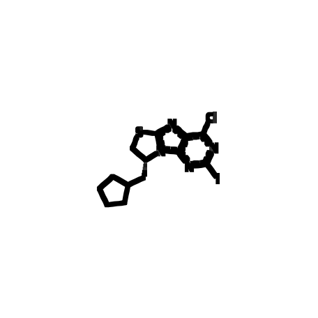 Clc1nc(I)nc2c1nc1n2[C@H](CC2CCCC2)CS1